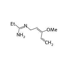 C=C/C(=C\C/N=C(\N)CC)OC